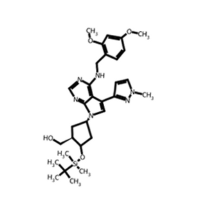 COc1ccc(CNc2ncnc3c2c(-c2ccn(C)n2)cn3[C@H]2CC(O[Si](C)(C)C(C)(C)C)[C@@H](CO)C2)c(OC)c1